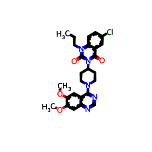 CCCn1c(=O)n(C2CCN(c3ncnc4cc(OC)c(OC)cc34)CC2)c(=O)c2cc(Cl)ccc21